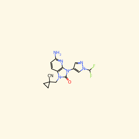 N#CC1(Cn2c(=O)n(-c3cnn(C(F)F)c3)c3nc(N)ccc32)CC1